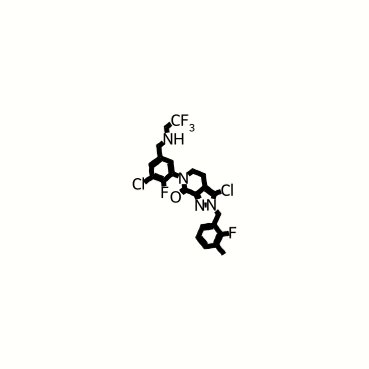 Cc1cccc(Cn2nc3c(c2Cl)CCN(c2cc(CNCC(F)(F)F)cc(Cl)c2F)C3=O)c1F